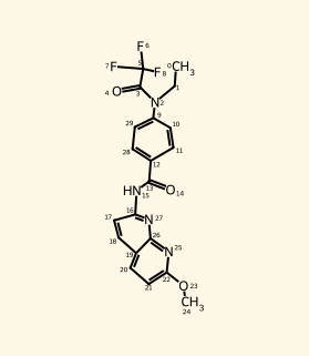 CCN(C(=O)C(F)(F)F)c1ccc(C(=O)Nc2ccc3ccc(OC)nc3n2)cc1